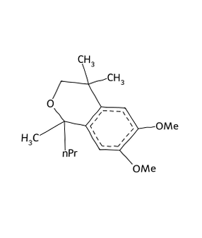 [CH2]CCC1(C)OCC(C)(C)c2cc(OC)c(OC)cc21